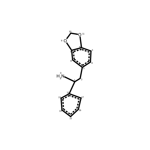 NC(Cc1ccc2c(c1)OCO2)c1ccccc1